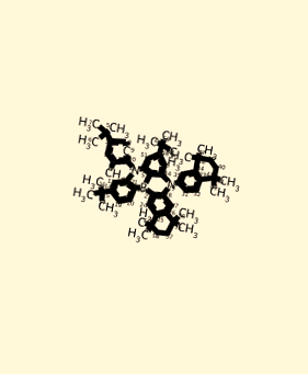 Cc1cc(C(C)(C)C)ccc1N1c2cc(C(C)(C)C)ccc2B2c3cc4c(cc3N(c3ccc5c(c3)C(C)(C)CCC5(C)C)c3cc(C(C)(C)C)cc1c32)C(C)(C)CCC4(C)C